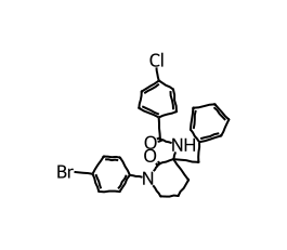 O=C(NC1(Cc2ccccc2)CCCN(c2ccc(Br)cc2)C1=O)c1ccc(Cl)cc1